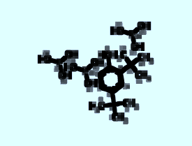 CC(C)(C)c1ccc(O)c(C(C)(C)C)c1.OP(O)O.OP(O)O.OP(O)O